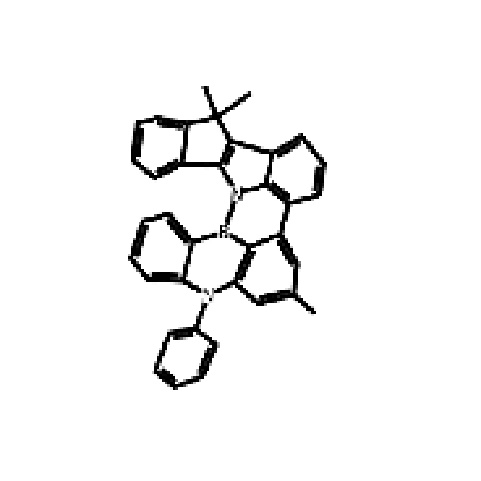 Cc1cc2c3c(c1)N(c1ccccc1)c1ccccc1B3n1c3c(c4cccc-2c41)C(C)(C)c1ccccc1-3